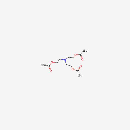 CC(C)(C)C(=O)OCCN(CCOC(=O)C(C)(C)C)CCOC(=O)C(C)(C)C